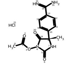 CC(=O)ON1C(=O)N[C@@](C)(c2ccc(C(=N)N)cc2)C1=O.Cl